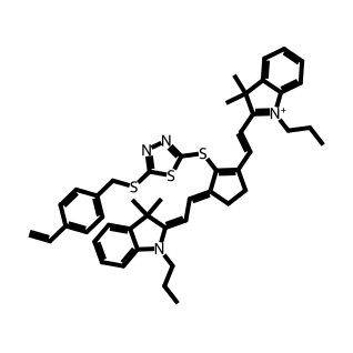 C=Cc1ccc(CSc2nnc(SC3=C(/C=C/C4=[N+](CCC)c5ccccc5C4(C)C)CC/C3=C\C=C3\N(CCC)c4ccccc4C3(C)C)s2)cc1